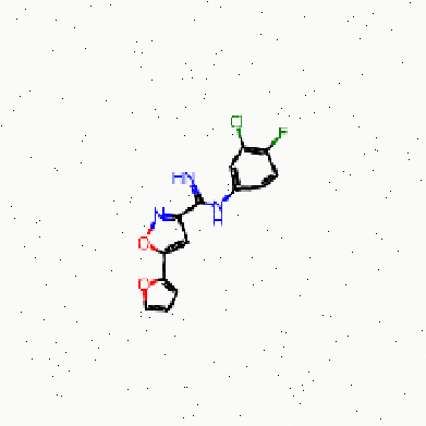 N=C(Nc1ccc(F)c(Cl)c1)c1cc(-c2ccco2)on1